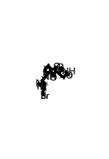 O=C1CCC(N2C(=O)c3cccc(NCc4cn(CCBr)nn4)c3C2=O)C(=O)N1